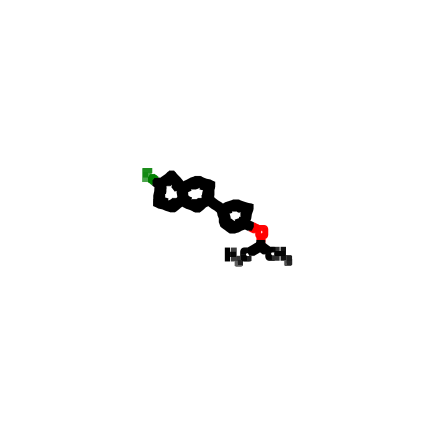 CC(C)Oc1ccc(-c2ccc3cc(F)ccc3c2)cc1